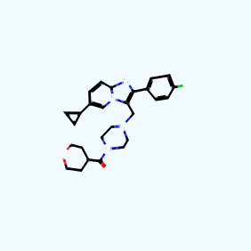 O=C(C1CCOCC1)N1CCN(CC2=C(c3ccc(Cl)cc3)NC3C=CC(C4CC4)=CN23)CC1